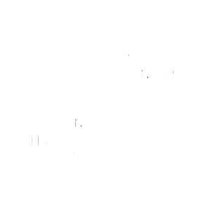 O=[N+]([O-])c1ccc2c(c1)-c1nc(S)sc1C2